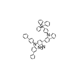 c1ccc(-c2ccc(N(c3ccc(-c4ccccc4)cc3)c3ccc(-c4ccc5c6ccccc6n(-c6ccc([Si](c7ccccc7)(c7ccccc7)c7ccccc7)cc6)c5c4)c4nsnc34)cc2)cc1